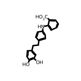 O=C(O)c1ccccc1Nc1ccc(CCc2ccc(O)c(O)c2)cc1